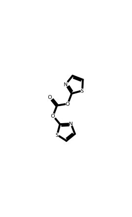 O=C(Oc1nccs1)Oc1nccs1